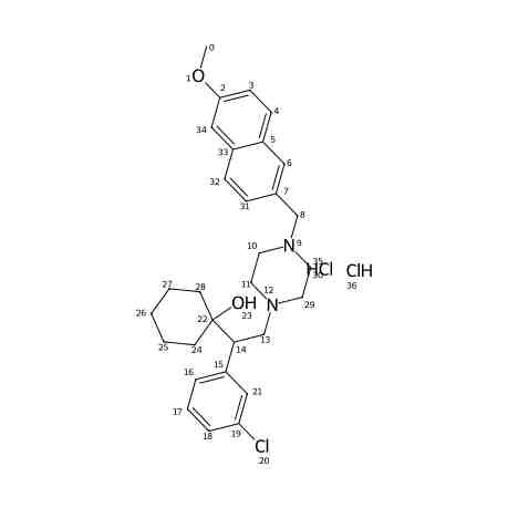 COc1ccc2cc(CN3CCN(CC(c4cccc(Cl)c4)C4(O)CCCCC4)CC3)ccc2c1.Cl.Cl